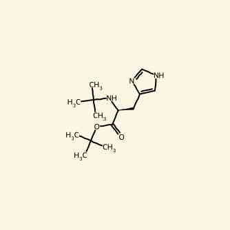 CC(C)(C)N[C@@H](Cc1c[nH]cn1)C(=O)OC(C)(C)C